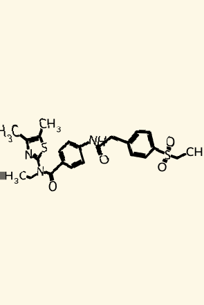 CCN(C(=O)c1ccc(NC(=O)Cc2ccc(S(=O)(=O)CC)cc2)cc1)c1nc(C)c(C)s1